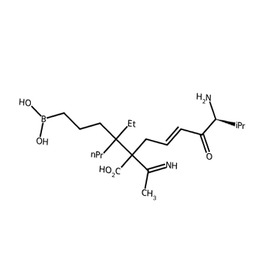 CCCC(CC)(CCCB(O)O)C(C/C=C/C(=O)[C@@H](N)C(C)C)(C(C)=N)C(=O)O